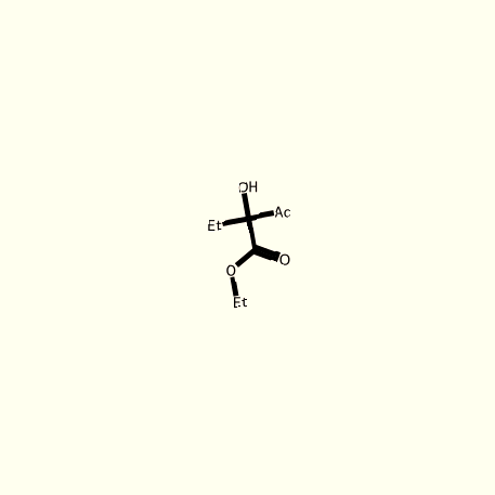 CCOC(=O)C(O)(CC)C(C)=O